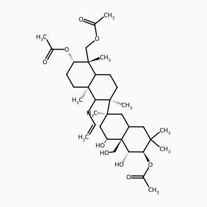 C=CCC1[C@@]2(C)CC[C@H](OC(C)=O)[C@](C)(COC(C)=O)C2CC[C@@]1(C)[C@@]1(C)CC2CC(C)(C)[C@@H](OC(C)=O)[C@H](O)[C@]2(CO)[C@H](O)C1